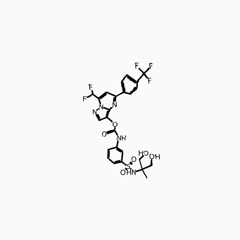 CC(CO)(CO)NS(=O)(=O)c1cccc(NC(=O)Oc2cnn3c(C(F)F)cc(-c4ccc(C(F)(F)F)cc4)nc23)c1